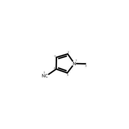 Cn1ccc(C#N)c1